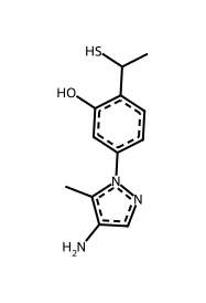 Cc1c(N)cnn1-c1ccc(C(C)S)c(O)c1